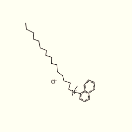 CCCCCCCCCCCCCCCC[N+](C)(C)c1cccc2ccccc12.[Cl-]